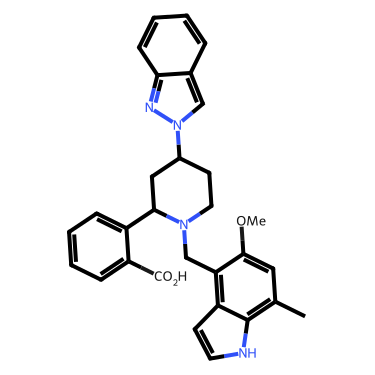 COc1cc(C)c2[nH]ccc2c1CN1CCC(n2cc3ccccc3n2)CC1c1ccccc1C(=O)O